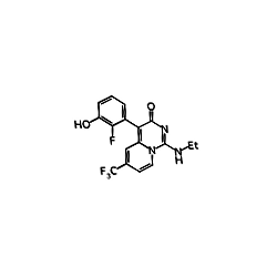 CCNc1nc(=O)c(-c2cccc(O)c2F)c2cc(C(F)(F)F)ccn12